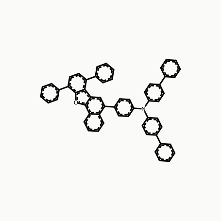 c1ccc(-c2ccc(N(c3ccc(-c4ccccc4)cc3)c3ccc(-c4cc5c(oc6c(-c7ccccc7)ccc(-c7ccccc7)c65)c5ccccc45)cc3)cc2)cc1